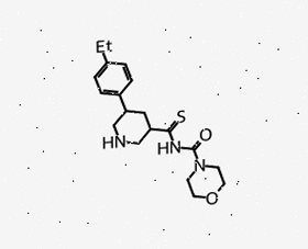 CCc1ccc(C2CNCC(C(=S)NC(=O)N3CCOCC3)C2)cc1